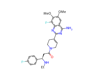 CCN[C@H](CC(=O)N1CC=C(c2nc(N)c3cc(OC)c(OC)c(F)c3n2)CC1)c1ccc(F)cc1